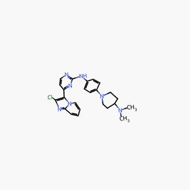 CN(C)C1CCN(c2ccc(Nc3nccc(-c4c(Cl)nc5ccccn45)n3)cc2)CC1